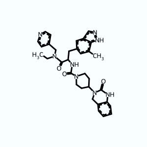 CCN(Cc1ccncc1)C(=O)C(Cc1cc(C)c2[nH]ncc2c1)NC(=O)N1CCC(N2Cc3ccccc3NC2=O)CC1